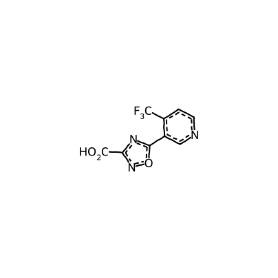 O=C(O)c1noc(-c2cnccc2C(F)(F)F)n1